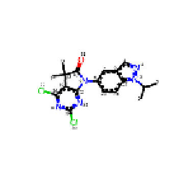 CC(C)n1ncc2cc(N3C(=O)C(C)(C)c4c(Cl)nc(Cl)nc43)ccc21